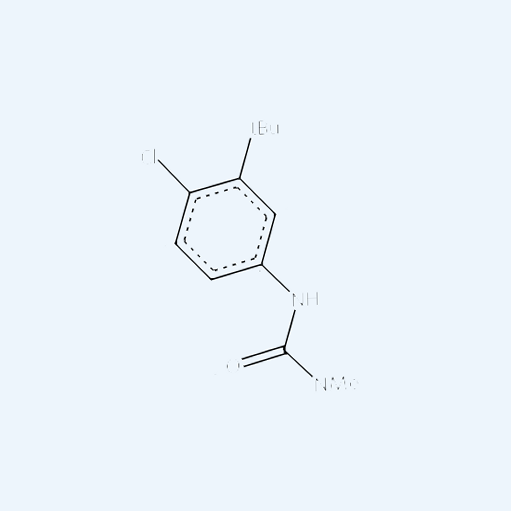 CNC(=O)Nc1ccc(Cl)c(C(C)(C)C)c1